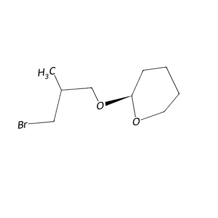 CC(CBr)CO[C@H]1CCCCO1